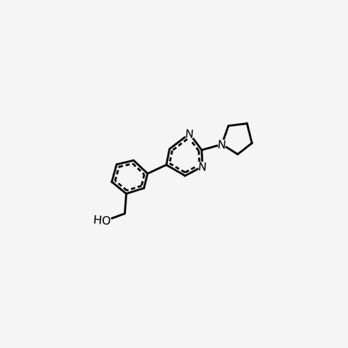 OCc1cccc(-c2cnc(N3CCCC3)nc2)c1